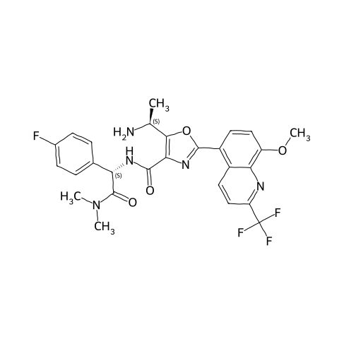 COc1ccc(-c2nc(C(=O)N[C@H](C(=O)N(C)C)c3ccc(F)cc3)c([C@H](C)N)o2)c2ccc(C(F)(F)F)nc12